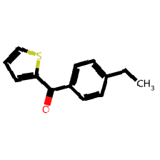 C[CH]c1ccc(C(=O)c2cccs2)cc1